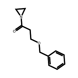 O=C(CCOCc1ccccc1)N1CC1